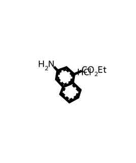 CCOC(=O)c1cc(N)cc2ccccc12.Cl